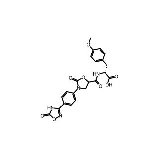 COc1ccc(C[C@@H](NC(=O)C2CN(c3ccc(-c4noc(=O)[nH]4)cc3)C(=O)O2)C(=O)O)cc1